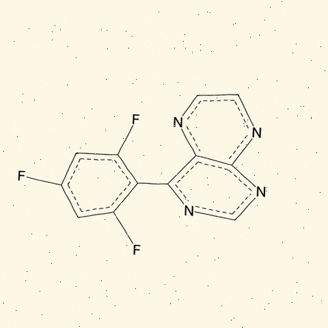 Fc1cc(F)c(-c2ncnc3nccnc23)c(F)c1